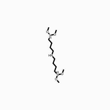 CO[SiH](CCCCNCCCC[SiH](OC)OC)OC